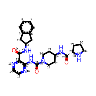 O=C(NC1Cc2ccccc2C1)c1nccnc1NC(=O)N1CCC(NC(=O)[C@@H]2CCCN2)CC1